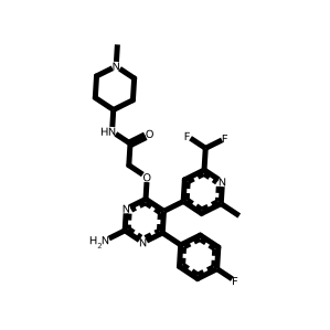 Cc1cc(-c2c(OCC(=O)NC3CCN(C)CC3)nc(N)nc2-c2ccc(F)cc2)cc(C(F)F)n1